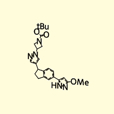 COc1cc(-c2ccc3c(c2)CCC3c2cnn(C3CN(C(=O)OC(C)(C)C)C3)c2)[nH]n1